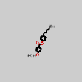 CCC[C@@H](C)Oc1ccc(C(=O)Oc2ccc(CCCC[C@@H](C)CC)cc2)cc1